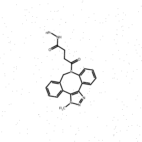 CCCNC(=O)CCC(=O)N1Cc2ccccc2-c2c(nnn2C)-c2ccccc21